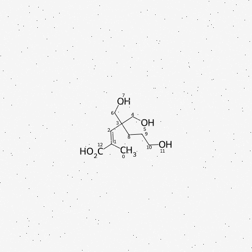 CC(=CC(CO)(CO)CCCO)C(=O)O